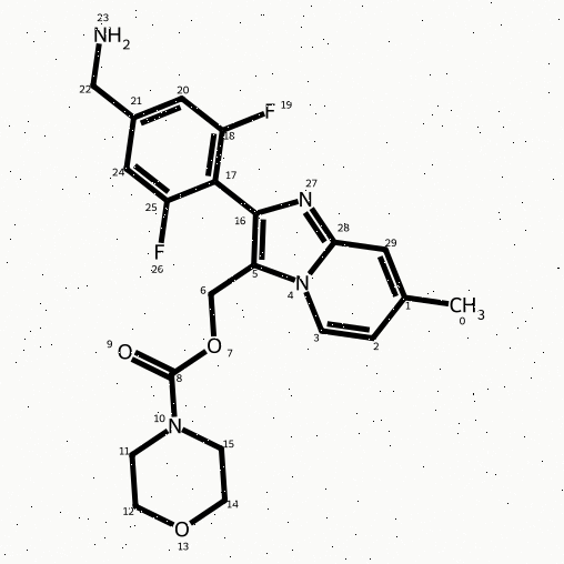 Cc1ccn2c(COC(=O)N3CCOCC3)c(-c3c(F)cc(CN)cc3F)nc2c1